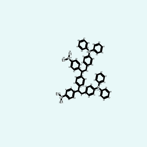 CCN(CC)c1ccc(C(Cc2ccc(N(c3ccccc3)c3ccccc3)cc2)c2ccc(C(Cc3ccc(N(c4ccccc4)c4ccccc4)cc3)c3ccc(N(CC)CC)cc3)cc2)cc1